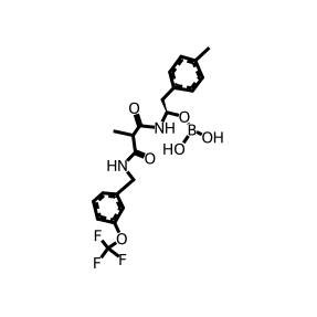 Cc1ccc(C[C@H](NC(=O)C(C)C(=O)NCc2cccc(OC(F)(F)F)c2)OB(O)O)cc1